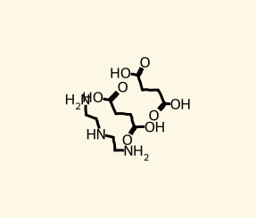 NCCNCCN.O=C(O)CCC(=O)O.O=C(O)CCC(=O)O